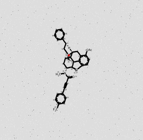 CC(=O)Oc1ccc2c3c1C[C@@H]1[C@@H]4CC[C@@H](N(C)C(=O)C#Cc5ccc(C(F)(F)F)cc5)[C@H](O2)[C@]34CCN1CCc1ccccc1